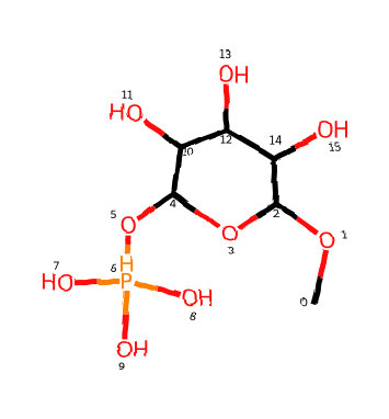 COC1OC(O[PH](O)(O)O)C(O)C(O)C1O